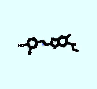 CCNc1cc2sc(/C=C/c3ccc(O)c(Br)c3)nc2cc1C